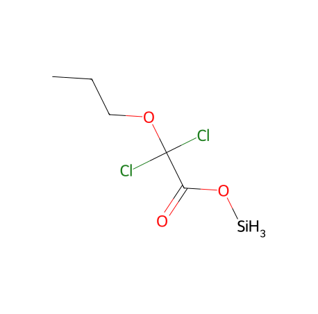 CCCOC(Cl)(Cl)C(=O)O[SiH3]